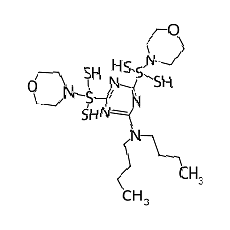 CCCCN(CCCC)c1nc(S(S)(S)N2CCOCC2)nc(S(S)(S)N2CCOCC2)n1